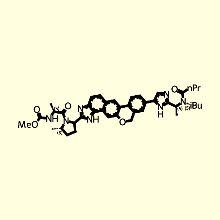 CCCC(=O)N([C@@H](C)CC)[C@@H](C)c1ncc(-c2ccc3c(c2)COc2cc4c(ccc5nc(C6CC[C@H](C)N6C(=O)[C@H](C)NC(=O)OC)[nH]c54)cc2-3)[nH]1